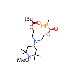 CON1C(C)(C)CC(N(CCOC(=O)PC)CCOC(=O)C(C)(C)C)CC1(C)C